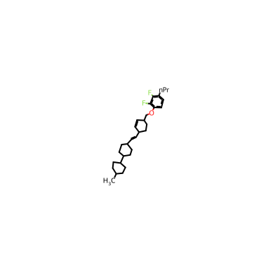 CCCc1ccc(OCC2C=CC(/C=C/C3CCC(C4CCC(C)CC4)CC3)CC2)c(F)c1F